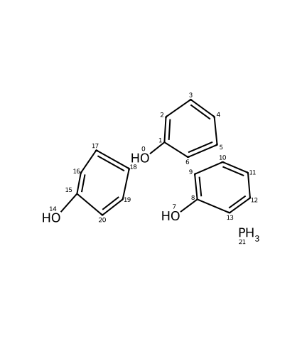 Oc1ccccc1.Oc1ccccc1.Oc1ccccc1.P